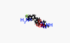 CNc1ncnc2c1ccn2[C@@H]1O[C@@H]2[C@H](Cc3ccc4cc(F)c(N)nc4c3)CC[C@]2(O)[C@H]1O